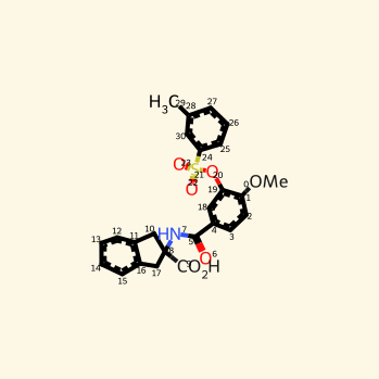 COc1ccc(C(=O)NC2(C(=O)O)Cc3ccccc3C2)cc1OS(=O)(=O)c1cccc(C)c1